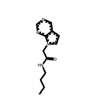 CCCCNC(=O)Cn1ccc2cncnc21